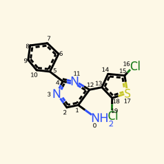 Nc1cnc(-c2ccccc2)nc1-c1cc(Cl)sc1Cl